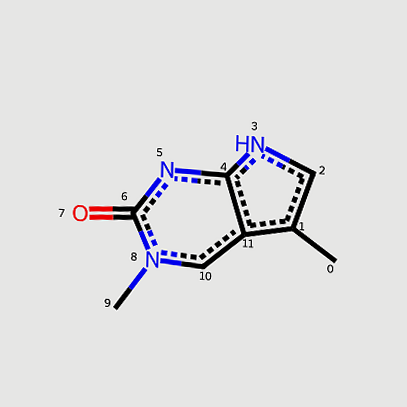 Cc1c[nH]c2nc(=O)n(C)cc12